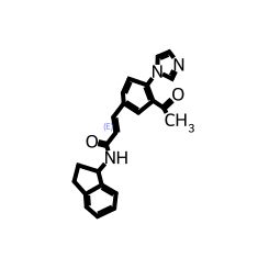 CC(=O)c1cc(/C=C/C(=O)NC2CCc3ccccc32)ccc1-n1ccnc1